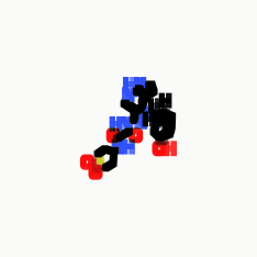 O=C(Nc1nn([C@H]2[C@@H]3CC4C[C@H]2C[C@@](O)(C4)C3)c2c1cnc1[nH]ccc12)C(=O)NC1CCS(=O)(=O)CC1